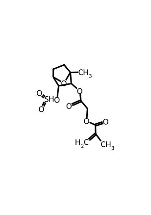 C=C(C)C(=O)OCC(=O)OC1C(O[SH](=O)=O)C2CCC1(C)O2